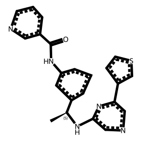 C[C@H](Nc1cncc(-c2ccsc2)n1)c1cccc(NC(=O)c2cccnc2)c1